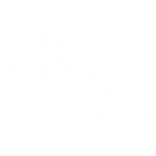 OC1(C(F)(F)F)CC(c2ccc(-c3cncc(F)c3)cc2)=NO1